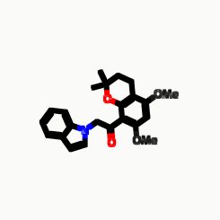 COc1cc(OC)c(C(=O)Cn2ccc3ccccc32)c2c1CCC(C)(C)O2